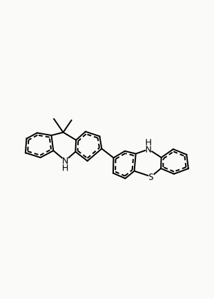 CC1(C)c2ccccc2Nc2cc(-c3ccc4c(c3)Nc3ccccc3S4)ccc21